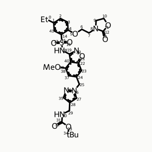 CCc1ccc(OCCN2CCOC2=O)c(S(=O)(=O)Nc2noc3cc(Cn4cc(CNC(=O)OC(C)(C)C)cn4)cc(OC)c23)c1